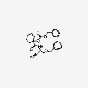 N#CC(COCc1ccccc1)NC(=O)C1(OC(=O)OCc2ccccc2)CCCCC1